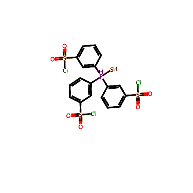 O=S(=O)(Cl)c1cccc([PH](S)(c2cccc(S(=O)(=O)Cl)c2)c2cccc(S(=O)(=O)Cl)c2)c1